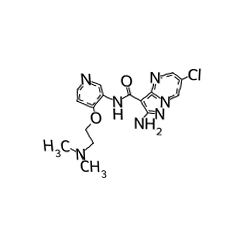 CN(C)CCOc1ccncc1NC(=O)c1c(N)nn2cc(Cl)cnc12